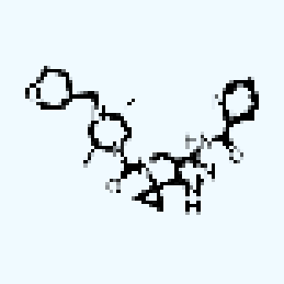 C[C@@H]1CN(C(=O)N2Cc3c(NC(=O)c4ccccn4)n[nH]c3C23CC3)[C@@H](C)CN1CC1CCOCC1